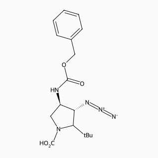 CC(C)(C)C1[C@@H](N=[N+]=[N-])[C@H](NC(=O)OCc2ccccc2)CN1C(=O)O